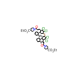 CCOC(=O)C1CCN(C(=O)/C=C/c2c(-c3ccccc3C(C)C)cc(Sc3cc(-c4ccccc4C(C)C)c(/C=C/C(=O)N4CCC(C(=O)OCC)CC4)c(Cl)c3Cl)c(Cl)c2Cl)CC1